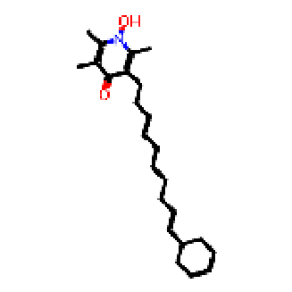 Cc1c(C)n(O)c(C)c(CCCCCCCCCCC2CCCCC2)c1=O